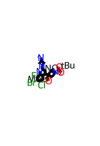 COC(=O)C1(c2c([N+](=O)[O-])c(N3CC(N(C)C)C3)nc3c(F)c(Br)c(Cl)cc23)CC2CC1CN2C(=O)OC(C)(C)C